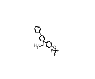 CCC1(c2ccc(OC(F)(F)F)cc2)C=CC(c2ccccc2)C=C1